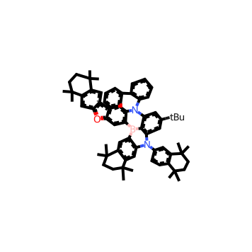 CC(C)(C)c1cc2c3c(c1)N(c1ccccc1-c1ccccc1)c1cc4c(cc1B3c1cc3c(cc1N2c1ccc2c(c1)C(C)(C)CCC2(C)C)C(C)(C)CCC3(C)C)oc1cc2c(cc14)C(C)(C)CCC2(C)C